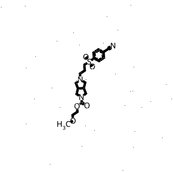 COCCOC(=O)N1CC2CN(CCCS(=O)(=O)c3ccc(C#N)cc3)CC2C1